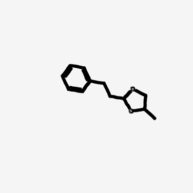 CC1COC(CCc2ccccc2)O1